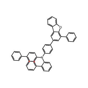 c1ccc(-c2ccc(N(c3ccc(-c4cc(-c5ccccc5)c5oc6ccccc6c5c4)cc3)c3ccccc3-c3ccccc3)cc2)cc1